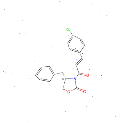 O=C(/C=C/c1ccc(Cl)cc1)N1C(=O)OC[C@@H]1Cc1ccccc1